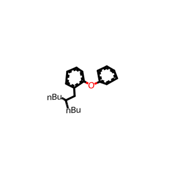 CCCCC(CCCC)Cc1ccccc1Oc1ccccc1